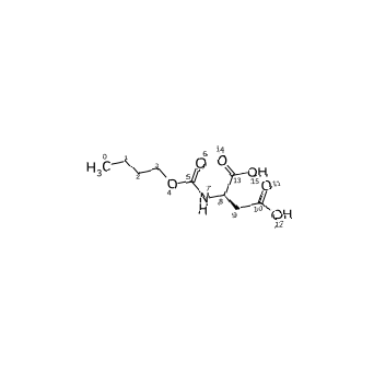 CCCCOC(=O)N[C@H](CC(=O)O)C(=O)O